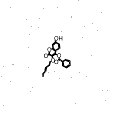 CCC=CCCOc1c(OC(=O)c2ccccc2)c2ccc(O)cc2oc1=O